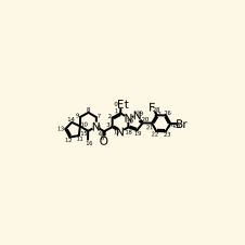 CCc1cc(C(=O)N2CCCC3(CC=CC3)C2C)nc2cc(-c3ccc(Br)cc3F)nn12